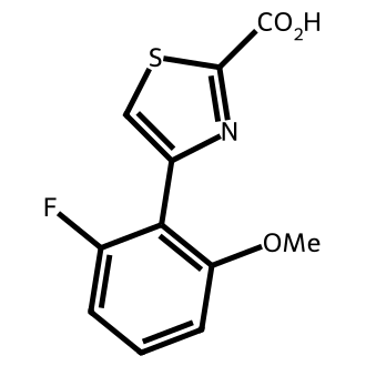 COc1cccc(F)c1-c1csc(C(=O)O)n1